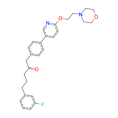 O=C(CCCc1cccc(F)c1)Cc1ccc(-c2ccc(OCCN3CCOCC3)nc2)cc1